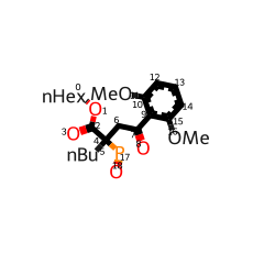 CCCCCCOC(=O)C(CCCC)(CC(=O)c1c(OC)cccc1OC)P=O